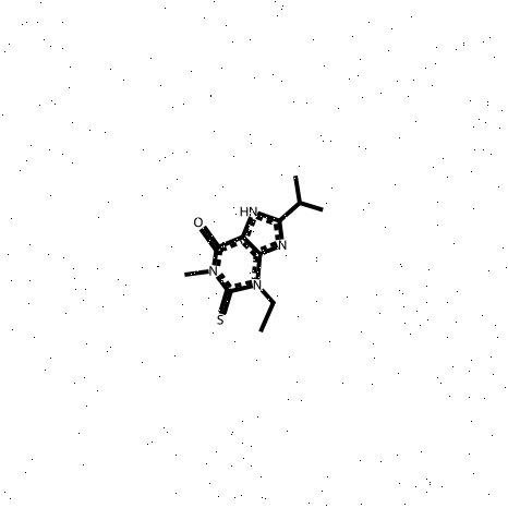 CCn1c(=S)n(C)c(=O)c2[nH]c(C(C)C)nc21